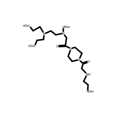 CCCCCCCCCCCCNCC(=O)N1CCN(C(=O)CN(CCCCCCCCC)CCN(CCCCCCCCCCCC)CCCCCCCCCCCC)CC1